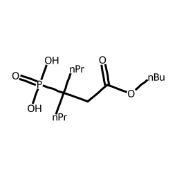 CCCCOC(=O)CC(CCC)(CCC)P(=O)(O)O